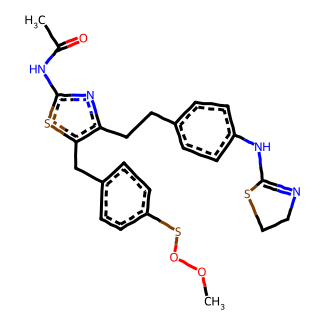 COOSc1ccc(Cc2sc(NC(C)=O)nc2CCc2ccc(NC3=NCCS3)cc2)cc1